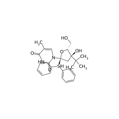 Cc1cn([C@@]2([SiH](c3ccccc3)c3ccccc3)C[C@@](O)(C(C)(C)C)[C@@H](CO)O2)c(=O)[nH]c1=O